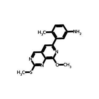 COc1nc(-c2cc(N)ccc2C)cc2cnc(SC)nc12